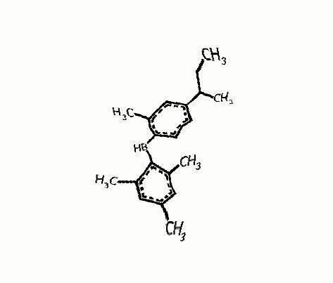 CCC(C)c1ccc(Bc2c(C)cc(C)cc2C)c(C)c1